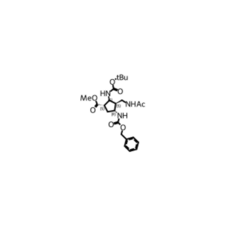 COC(=O)[C@H]1C[C@@H](NC(=O)OCc2ccccc2)[C@H](CNC(C)=O)[C@@H]1NC(=O)OC(C)(C)C